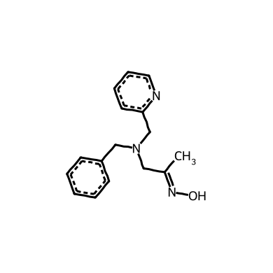 C/C(CN(Cc1ccccc1)Cc1ccccn1)=N\O